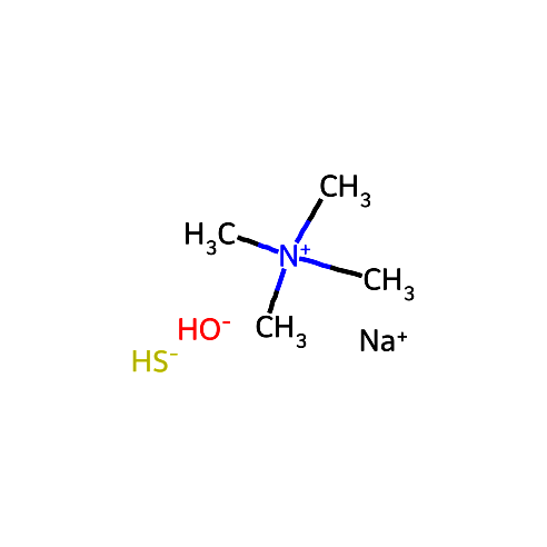 C[N+](C)(C)C.[Na+].[OH-].[SH-]